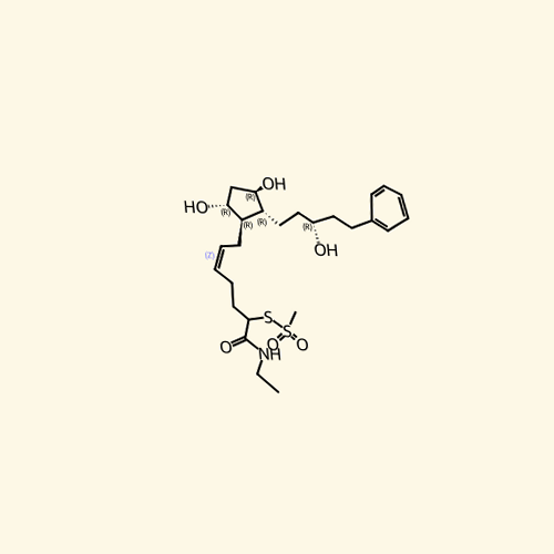 CCNC(=O)C(CC/C=C\C[C@@H]1[C@@H](CC[C@@H](O)CCc2ccccc2)[C@H](O)C[C@H]1O)SS(C)(=O)=O